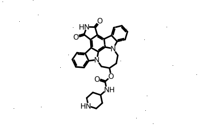 O=C(NC1CCNCC1)OC1CCn2c3ccccc3c3c4c(c5c6ccccc6n(c5c32)C1)C(=O)NC4=O